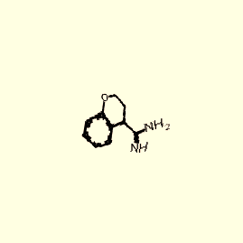 N=C(N)C1CCOc2ccccc21